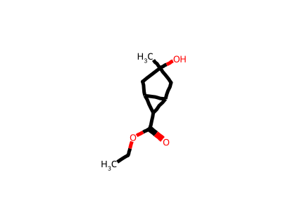 CCOC(=O)C1C2CC(C)(O)CC21